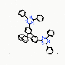 c1ccc(-c2nc(-c3ccccc3)nc(-c3ccc4c(c3)-c3cc(-c5nc(-c6ccccc6)nc(-c6ccccc6)n5)ccc3C43C4CC5CC(C4)CC3C5)n2)cc1